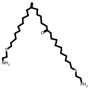 C=C(CCCCCCCCCCSCCN)CCCCCC(=O)CCCCCCCCCCSCCP